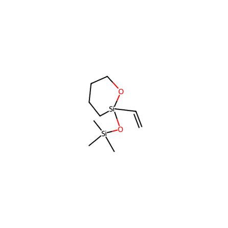 C=C[Si]1(O[Si](C)(C)C)CCCCO1